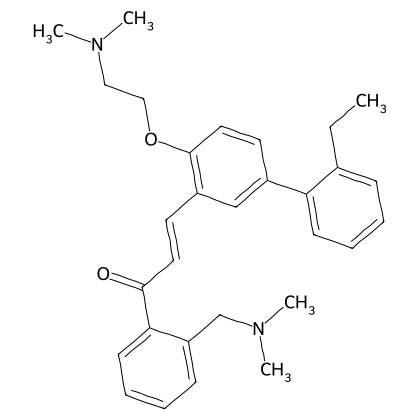 CCc1ccccc1-c1ccc(OCCN(C)C)c(C=CC(=O)c2ccccc2CN(C)C)c1